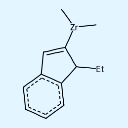 CCC1[C]([Zr]([CH3])[CH3])=Cc2ccccc21